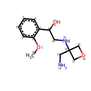 COc1ccccc1C(O)CNC1(CN)COC1